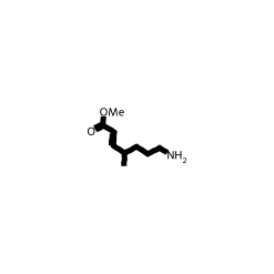 COC(=O)/C=C/C(C)CCCN